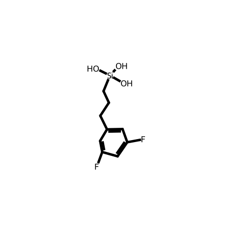 O[Si](O)(O)CCCc1cc(F)cc(F)c1